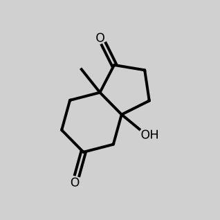 CC12CCC(=O)CC1(O)CCC2=O